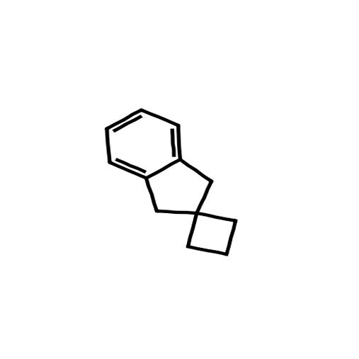 c1ccc2c(c1)CC1(CCC1)C2